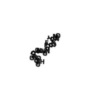 CC(C)c1cc2c(c(N3CCCc4cc(-c5ccc(C(=O)NCc6cc(-c7cccc8c7CN(C7CCC(=O)NC7=O)C8=O)on6)nc5)c(C(F)F)cc43)c1)CN(C)C(=O)N2C